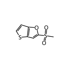 CS(=O)(=O)c1cc2sccc2o1